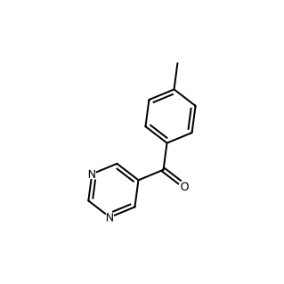 Cc1ccc(C(=O)c2cncnc2)cc1